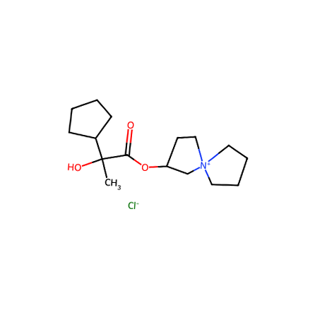 CC(O)(C(=O)OC1CC[N+]2(CCCC2)C1)C1CCCC1.[Cl-]